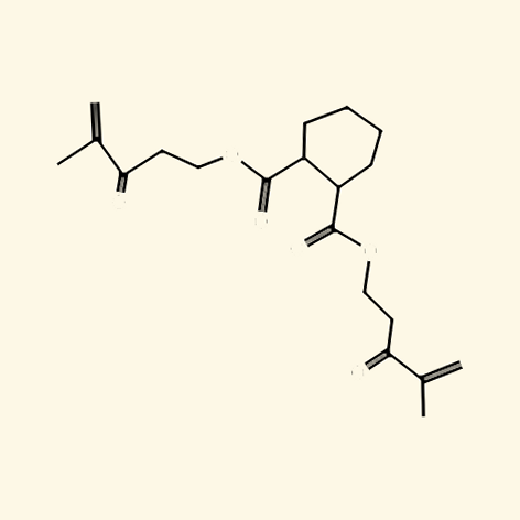 C=C(C)C(=O)CCOC(=O)C1CCCCC1C(=O)OCCC(=O)C(=C)C